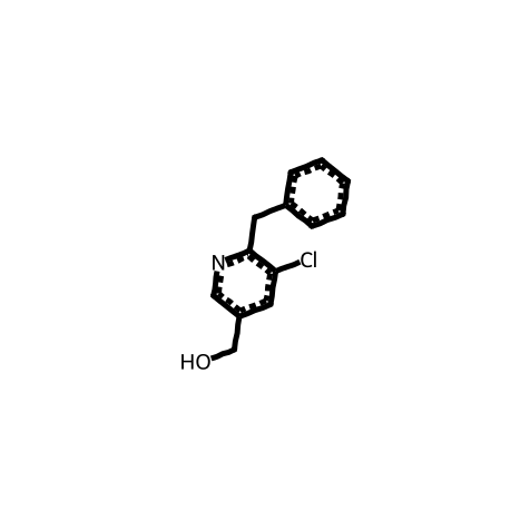 OCc1cnc(Cc2ccccc2)c(Cl)c1